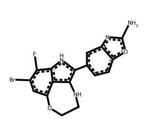 Nc1nc2cc(-c3[nH]c4c(F)c(Br)cc5c4c3NCCO5)ccc2o1